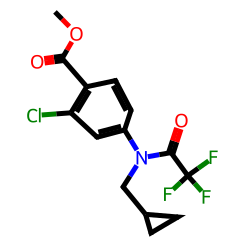 COC(=O)c1ccc(N(CC2CC2)C(=O)C(F)(F)F)cc1Cl